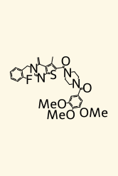 C=C1c2c(sc(C(=O)N3CCN(C(=O)c4cc(OC)c(OC)c(OC)c4)CC3)c2C)N=CN1Cc1ccccc1F